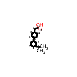 CC(C)c1cccc(-c2ccc(CC(=O)O)cc2)c1